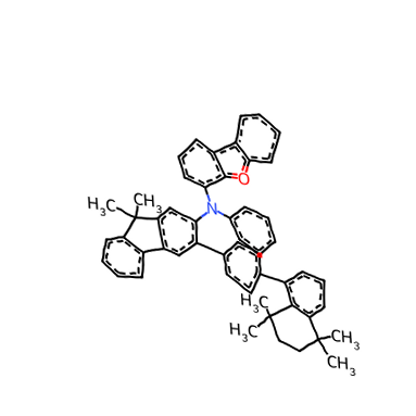 CC1(C)CCC(C)(C)c2c(-c3ccc(-c4cc5c(cc4N(c4ccccc4)c4cccc6c4oc4ccccc46)C(C)(C)c4ccccc4-5)cc3)cccc21